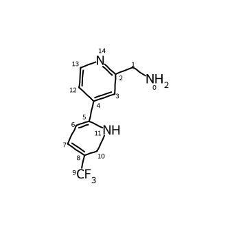 NCc1cc(C2=CC=C(C(F)(F)F)CN2)ccn1